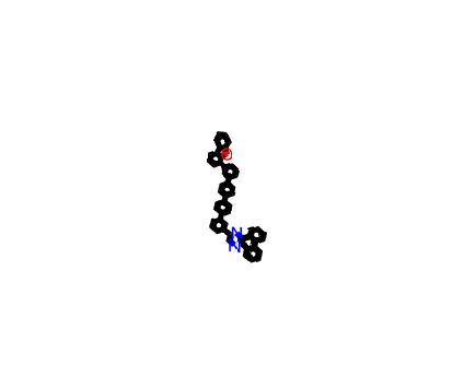 c1cc(-c2ccc(-c3ccc(-c4cccc(-c5cccc6c5oc5ccccc56)c4)cc3)cc2)cc(-c2cnc3c4ccccc4c4ccccc4c3n2)c1